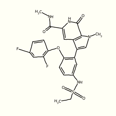 CCS(=O)(=O)Nc1ccc(Oc2ccc(F)cc2F)c(-c2cn(C)c3c(=O)[nH]c(C(=O)NC)cc23)c1